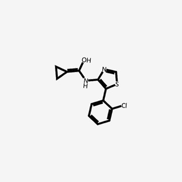 OC(Nc1ncsc1-c1ccccc1Cl)=C1CC1